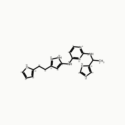 CC(Nc1nccc(Nc2cc(CCc3ccco3)n[nH]2)n1)c1cnco1